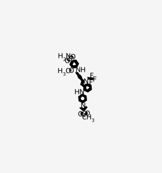 COc1cc(S(N)(=O)=O)ccc1NCC#Cc1cc2c(N[C@H]3CC[C@H](N4CC(S(C)(=O)=O)C4)CC3)cccc2n1CC(F)(F)F